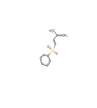 C=C(C)C=CS(=O)(=O)c1ccccc1